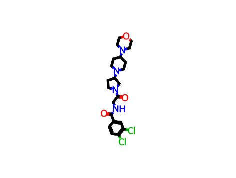 O=C(NCC(=O)N1CCC(N2CCC(N3CCOCC3)CC2)C1)c1ccc(Cl)c(Cl)c1